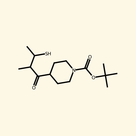 CC(S)C(C)C(=O)C1CCN(C(=O)OC(C)(C)C)CC1